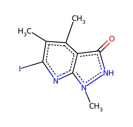 Cc1c(I)nc2c(c1C)c(=O)[nH]n2C